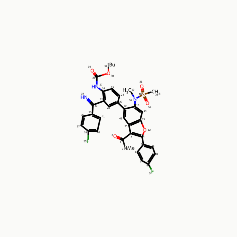 CNC(=O)c1c(-c2ccc(F)cc2)oc2cc(N(C)S(C)(=O)=O)c(-c3ccc(NC(=O)OC(C)(C)C)c(C(=N)c4ccc(F)cc4)c3)cc12